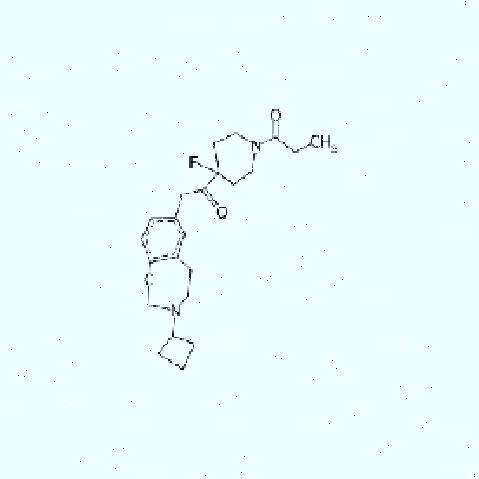 CCC(=O)N1CCC(F)(C(=O)Cc2ccc3c(c2)CCN(C2CCC2)CC3)CC1